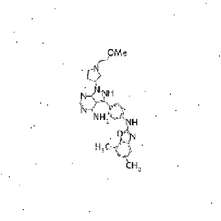 COCCN1CCC(N2NC(c3ccc(Nc4nc5cc(C)cc(C)c5o4)cc3)=C3C2=NC=NC3N)C1